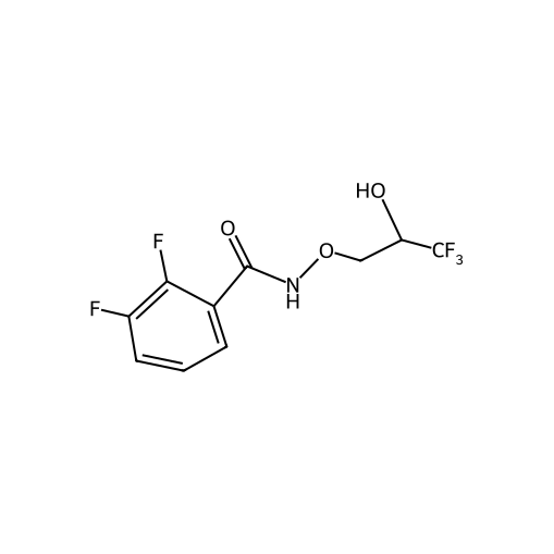 O=C(NOCC(O)C(F)(F)F)c1cccc(F)c1F